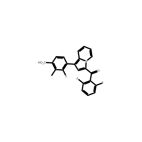 Cc1c(C(=O)O)ccc(-c2cc(C(=O)c3c(F)cccc3F)n3ccccc23)c1F